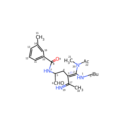 CCC(C)N/C(=C(/CC(C=O)NC(=O)c1cccc(C)c1)C(C)=N)N(C)C(C)=O